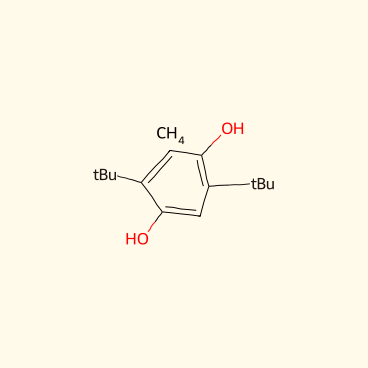 C.CC(C)(C)c1cc(O)c(C(C)(C)C)cc1O